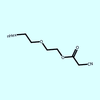 CCCCCCCCOCCOC(=O)CC#N